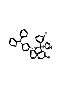 Fc1cccc(C([SiH2]c2ccccc2)(c2cccc(F)c2)n2ccnc2)c1.c1ccc(B(c2ccccc2)c2ccccc2)cc1